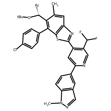 CC(=O)[C@@H](OC(C)(C)C)c1c(C)cc2nc(-c3cc(-c4ccc5c(cnn5C)c4)ncc3C(F)F)sc2c1-c1ccc(Cl)cc1